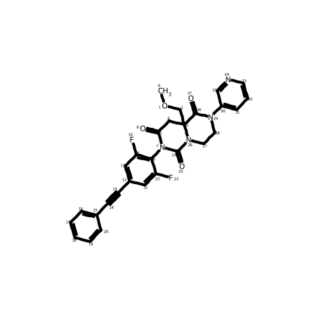 COCC12CC(=O)N(c3c(F)cc(C#Cc4ccccc4)cc3F)C(=O)N1CCN(c1cccnc1)C2=O